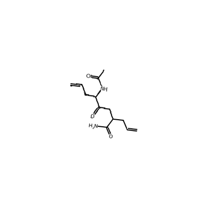 C=CCC(CC(=O)C(CC=C)NC(C)=O)C(N)=O